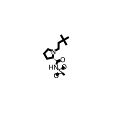 CC(C)(C)CCN1CCC[C@H]1C(=O)NS(C)(=O)=O